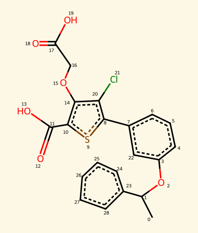 CC(Oc1cccc(-c2sc(C(=O)O)c(OCC(=O)O)c2Cl)c1)c1ccccc1